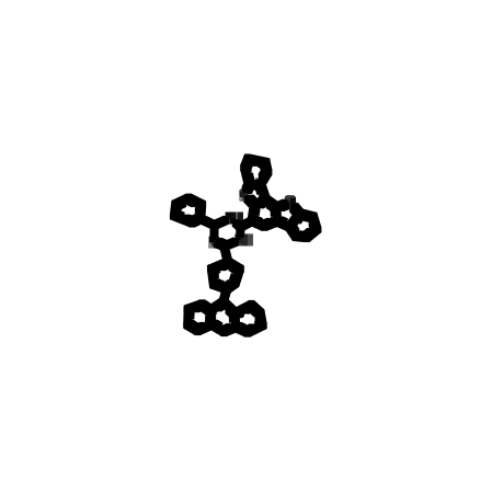 c1ccc(C2N=C(c3ccc(-c4c5ccccc5cc5ccccc45)cc3)NC(c3cc4c5ccccc5oc4c4c3sc3ccccc34)N2)cc1